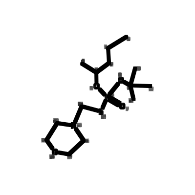 CCCC(C)OP(=O)(OC(C)(C)C)SCN1CCOCC1